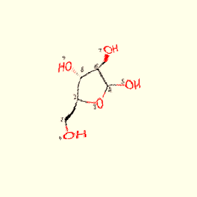 OC[C@@H]1OC(O)[C@H](O)[C@H]1O